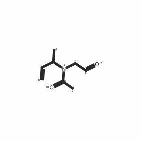 C=CC(C)N(CC=O)C(C)=O